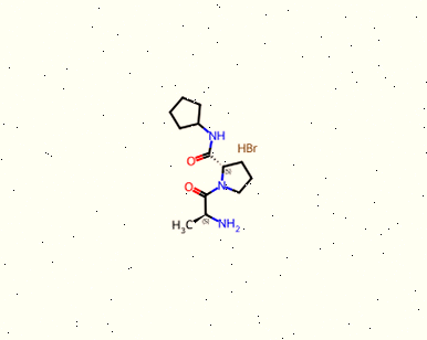 Br.C[C@H](N)C(=O)N1CCC[C@H]1C(=O)NC1CCCC1